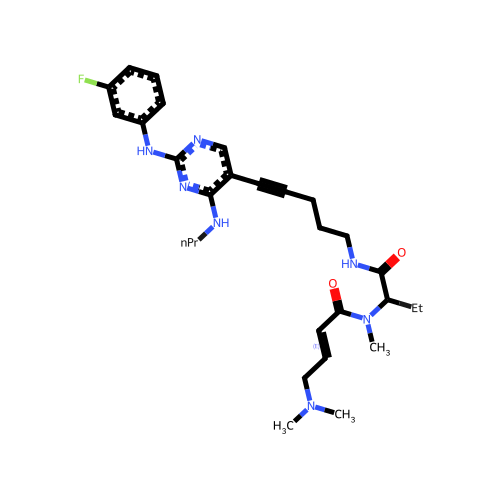 CCCNc1nc(Nc2cccc(F)c2)ncc1C#CCCCNC(=O)C(CC)N(C)C(=O)/C=C/CN(C)C